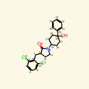 O=C1C(Cc2c(Cl)cccc2Cl)CCN1C1CCC(O)(c2ccccc2)CC1